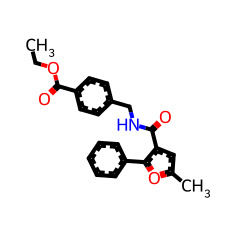 CCOC(=O)c1ccc(CNC(=O)c2cc(C)oc2-c2ccccc2)cc1